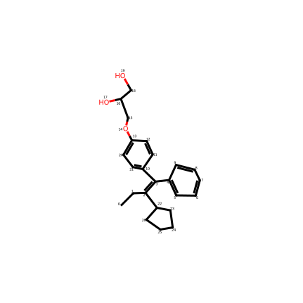 CCC(=C(c1ccccc1)c1ccc(OCC(O)CO)cc1)C1CCCC1